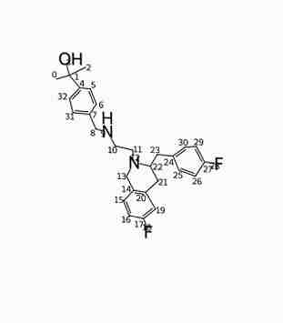 CC(C)(O)c1ccc(CNCCN2Cc3ccc(F)cc3CC2Cc2ccc(F)cc2)cc1